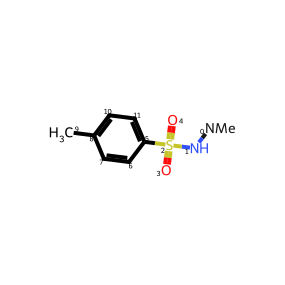 [CH2]NNS(=O)(=O)c1ccc(C)cc1